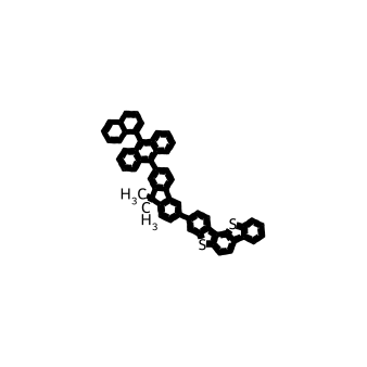 CC1(C)c2ccc(-c3ccc4c(c3)sc3ccc5c6ccccc6sc5c34)cc2-c2ccc(-c3c4ccccc4c(C4=CC=CC5C=CC=CC45)c4ccccc34)cc21